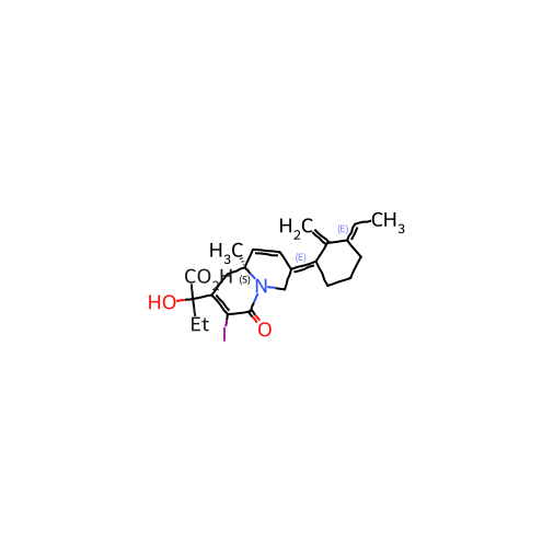 C=C1/C(=C/C)CCC/C1=C1/C=C[C@]2(C)CC(C(O)(CC)C(=O)O)=C(I)C(=O)N2C1